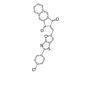 O=C1C(=Cc2cc3sc(-c4ccc(Cl)cc4)nc3o2)C(=O)c2cc3ccccc3cc21